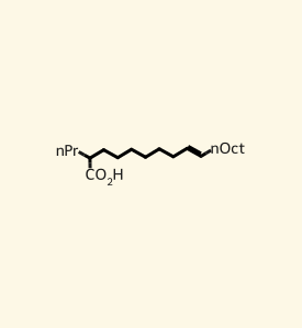 CCCCCCCCC=CCCCCCCC(CCC)C(=O)O